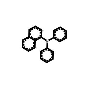 [c]1ccc2ccccc2c1N(c1ccccc1)c1ccccc1